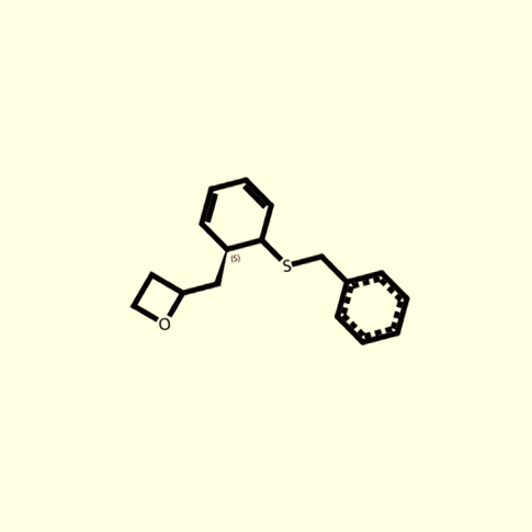 C1=CC(SCc2ccccc2)[C@@H](CC2CCO2)C=C1